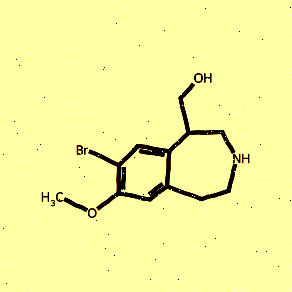 COc1cc2c(cc1Br)C(CO)CNCC2